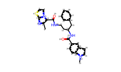 Cc1nc2sccn2c1C(=O)NCCC(Cc1ccccc1)NC(=O)c1ccc2c(ccn2C)c1